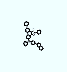 c1ccc(-c2ccc3c(c2)c2c(c4cc(N(c5ccccc5)c5ccc(-c6ccc7ccccc7c6)cc5)ccc43)OC(c3ccccc3)N2)cc1